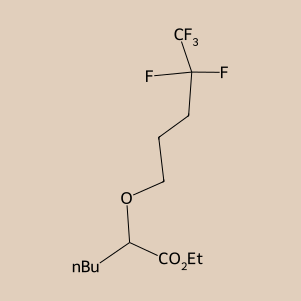 CCCCC(OCCCC(F)(F)C(F)(F)F)C(=O)OCC